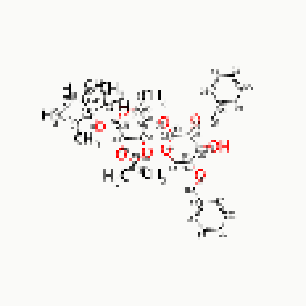 CC(C)[Si](O[C@@H]1O[C@H](C)[C@H](O[C@@H]2OC[C@@H](OCc3ccccc3)C(O)C2OCc2ccccc2)C2OC(C)(C)OC21)(C(C)C)C(C)C